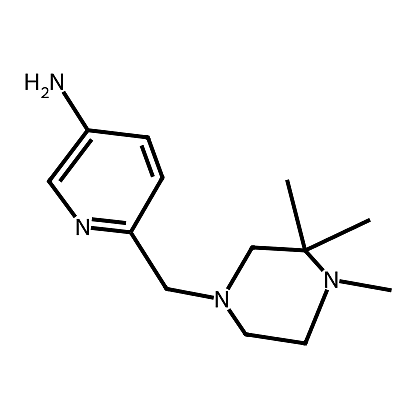 CN1CCN(Cc2ccc(N)cn2)CC1(C)C